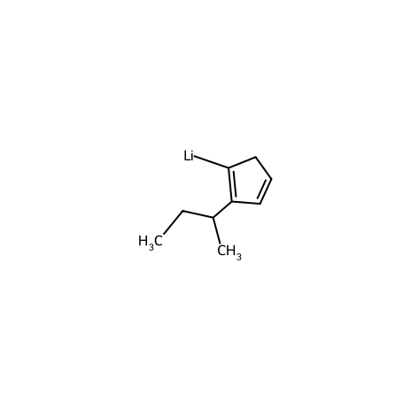 [Li][C]1=C(C(C)CC)C=CC1